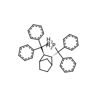 PC(c1ccccc1)(c1ccccc1)[C@@H]1C2CCC(C2)[C@H]1C(P)(c1ccccc1)c1ccccc1